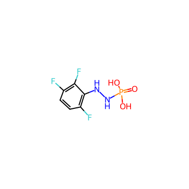 O=P(O)(O)NNc1c(F)ccc(F)c1F